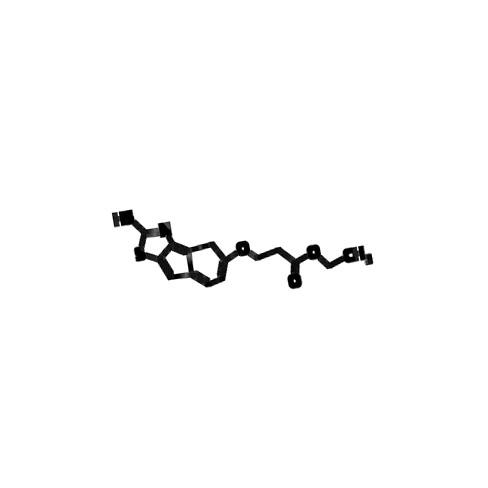 CCOC(=O)CCOC1=CC=C2C=c3sc(S)nc3=C2C1